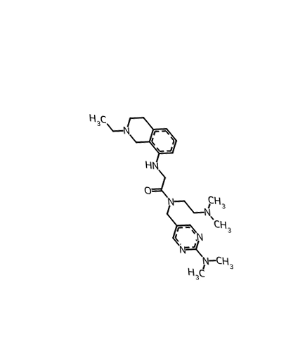 CCN1CCc2cccc(NCC(=O)N(CCN(C)C)Cc3cnc(N(C)C)nc3)c2C1